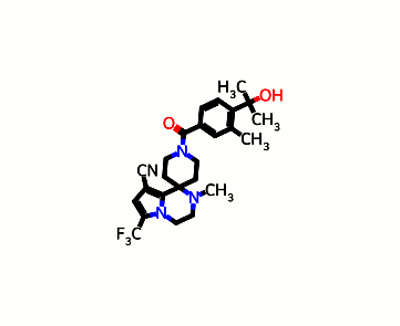 Cc1cc(C(=O)N2CCC3(CC2)c2c(C#N)cc(C(F)(F)F)n2CCN3C)ccc1C(C)(C)O